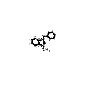 Cn1c[n+](Cc2ccccc2)c2ccccc21